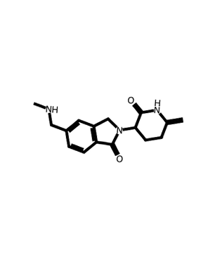 C=C1CCC(N2Cc3cc(CNC)ccc3C2=O)C(=O)N1